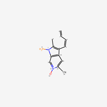 C=C/C=C\c1c(C)n(P)c2c[n+]([O-])c(C#N)cc12